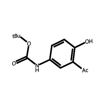 CC(=O)c1cc(NC(=O)OC(C)(C)C)ccc1O